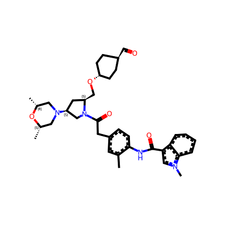 Cc1cc(CC(=O)N2C[C@@H](N3C[C@@H](C)O[C@@H](C)C3)C[C@H]2CO[C@H]2CC[C@H](C=O)CC2)ccc1NC(=O)c1cn(C)c2ccccc12